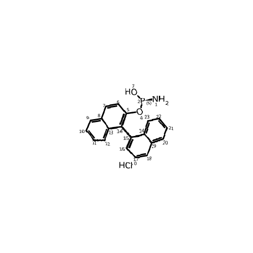 Cl.N[P@](O)Oc1ccc2ccccc2c1-c1cccc2ccccc12